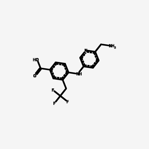 NCc1ccc(Nc2ccc(C(=O)O)cc2CC(F)(F)F)cn1